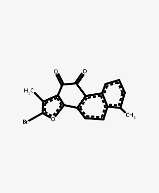 Cc1c(Br)oc2c1C(=O)C(=O)c1c-2ccc2c(C)cccc12